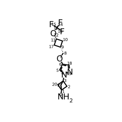 NC12CC(n3cc(OC[C@H]4C[C@@H](OC(F)(F)F)C4)cn3)(C1)C2